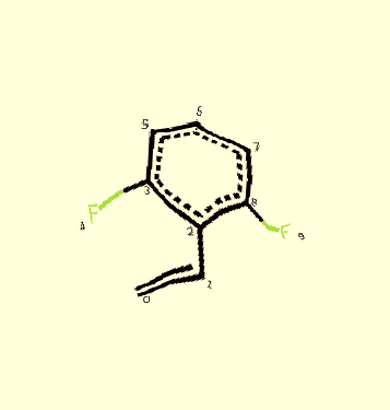 C=Cc1c(F)c[c]cc1F